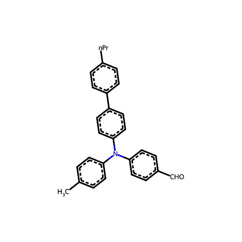 CCCc1ccc(-c2ccc(N(c3ccc(C)cc3)c3ccc(C=O)cc3)cc2)cc1